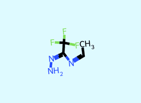 C/C=N\C(=N/N)C(F)(F)F